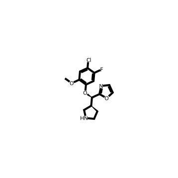 COc1cc(Cl)c(F)cc1O[C@@H](c1ncco1)[C@H]1CCNC1